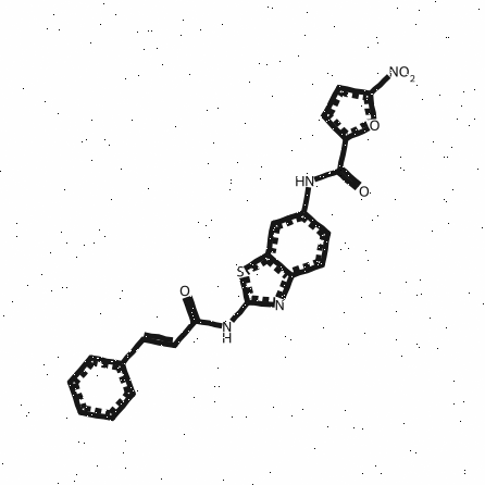 O=C(C=Cc1ccccc1)Nc1nc2ccc(NC(=O)c3ccc([N+](=O)[O-])o3)cc2s1